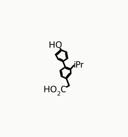 CC(C)c1cc(CC(=O)O)ccc1-c1ccc(O)cc1